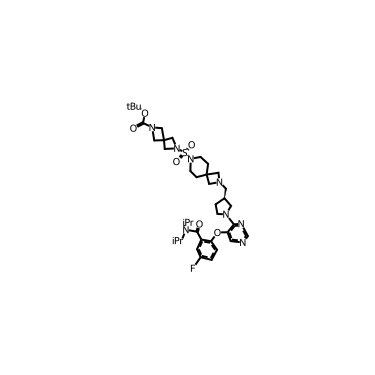 CC(C)N(C(=O)c1cc(F)ccc1Oc1cncnc1N1CC[C@@H](CN2CC3(CCN(S(=O)(=O)N4CC5(CN(C(=O)OC(C)(C)C)C5)C4)CC3)C2)C1)C(C)C